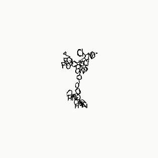 O=C(N[C@@H](c1ccccc1)c1cccc(OCc2ccc(C(=O)N3CCS[C@H]3C(=O)O[C@@H](Cc3c(Cl)c[n+]([O-])cc3Cl)c3ccc(OC(F)F)c(OCC4CC4)c3)cc2)c1)O[C@H]1CN2CCC1CC2